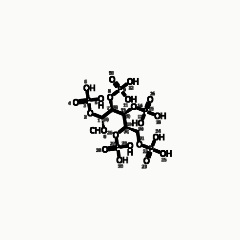 O=C[C@H](OP(=O)(O)O)[C@@H](OP(=O)(O)O)[C@@H](OP(=O)(O)O)[C@@H](COP(=O)(O)O)OP(=O)(O)O